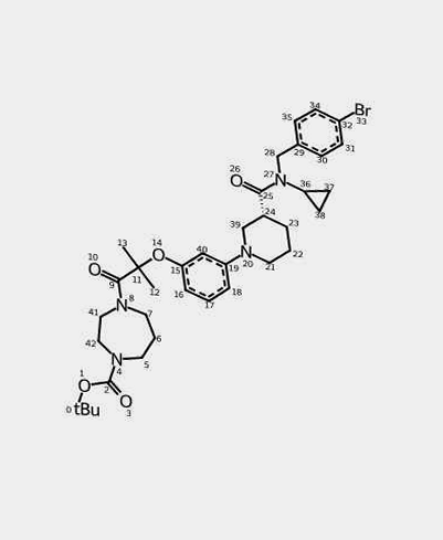 CC(C)(C)OC(=O)N1CCCN(C(=O)C(C)(C)Oc2cccc(N3CCC[C@@H](C(=O)N(Cc4ccc(Br)cc4)C4CC4)C3)c2)CC1